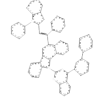 C(=C(/c1ccccc1)c1cc2c3ccccc3n(-c3nc(-c4cccc(-c5ccccc5)c4)c4ccccc4n3)c2c2ccccc12)/c1cc2ccccc2n1-c1ccccc1